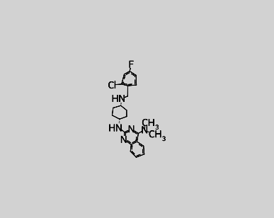 CN(C)c1nc(N[C@H]2CC[C@@H](NCc3ccc(F)cc3Cl)CC2)nc2ccccc12